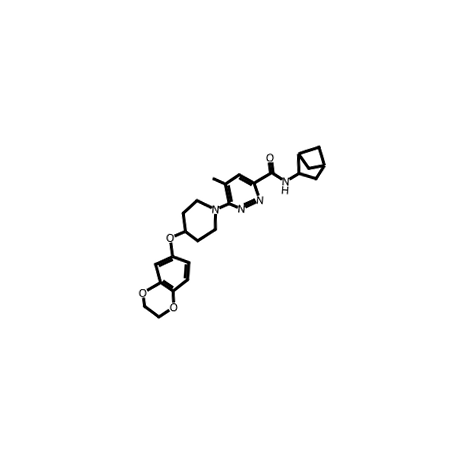 Cc1cc(C(=O)NC2CC3CC2C3)nnc1N1CCC(Oc2ccc3c(c2)OCCO3)CC1